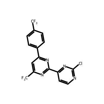 FC(F)(F)c1ccc(-c2cc(C(F)(F)F)nc(-c3ccnc(Cl)n3)n2)cc1